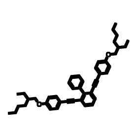 CCCCC(CC)COc1ccc(C#Cc2cccc(C#Cc3ccc(OCC(CC)CCCC)cc3)c2-c2ccccc2)cc1